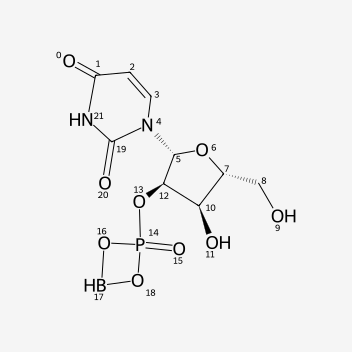 O=c1ccn([C@@H]2O[C@H](CO)[C@@H](O)[C@H]2OP2(=O)OBO2)c(=O)[nH]1